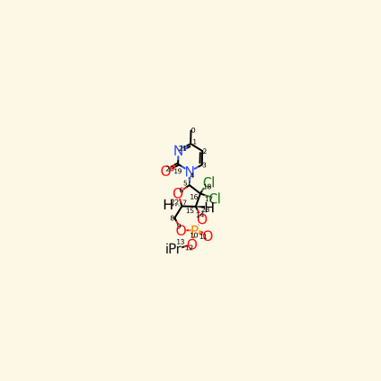 Cc1ccn([C@@H]2O[C@@H]3COP(=O)(OC(C)C)O[C@H]3C2(Cl)Cl)c(=O)n1